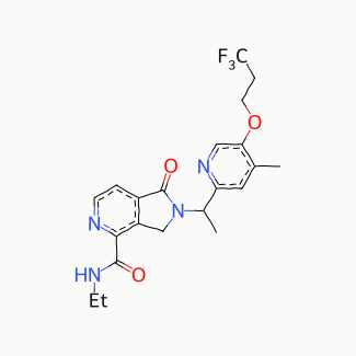 CCNC(=O)c1nccc2c1CN(C(C)c1cc(C)c(OCCC(F)(F)F)cn1)C2=O